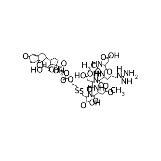 COC(=O)CC(NC(=O)C(CC(=O)O)NC(=O)C(CCCNC(=N)N)NC(=O)C(CC(=O)O)NC(C)=O)C(=O)NC(CSSCCOC(=O)OCC(=O)C1(O)CCC2C3CCC4=CC(=O)C=CC4(C)C3C(O)CC21C)C(=O)O